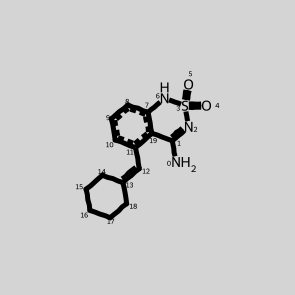 NC1=NS(=O)(=O)Nc2cccc(C=C3CCCCC3)c21